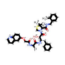 CCC(NC(=O)COc1ccc2ncccc2c1)C(=O)N[C@@H](Cc1ccccc1)[C@H](O)C(=O)N1CSC(C)(C)C1C(=O)NCc1ccccc1C